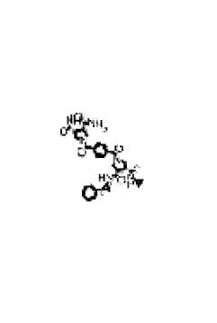 NC(=O)[C@H]1CN(C(=O)c2ccc(C(=O)N3C[C@H](C(=O)NC4CC4)[C@@H](C(=O)N[C@@H]4C[C@H]4c4ccccc4)C3)cc2)C[C@@H]1C(N)=O